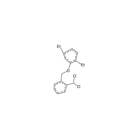 CCc1ccc(CC)c(OCc2ccccc2C(Cl)Cl)c1